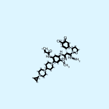 C=CC(=O)Nc1cc(NC(=N)/C=C(\NN)N2OCC[C@@H]2c2ccc(Cl)c(Cl)c2)c(OC)cc1N1CCC(N2CCN(C3CC3)CC2)CC1